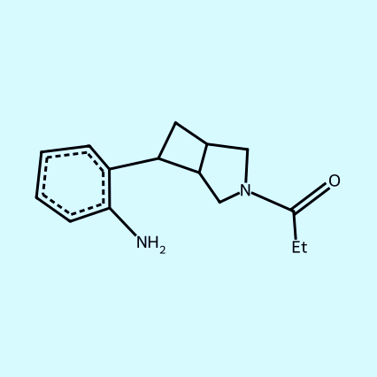 CCC(=O)N1CC2CC(c3ccccc3N)C2C1